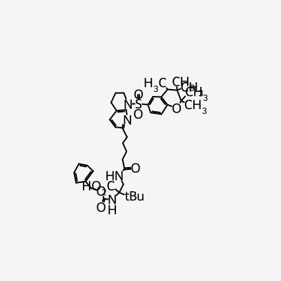 CC1c2cc(S(=O)(=O)N3CCCc4ccc(CCCCC(=O)NCC(NC(=O)OCc5ccccc5)(C(=O)O)C(C)(C)C)nc43)ccc2OC(C)(C)C1(C)C